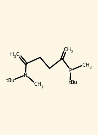 C=C(CCC(=C)P(C)C(C)(C)C)N(C)C(C)(C)C